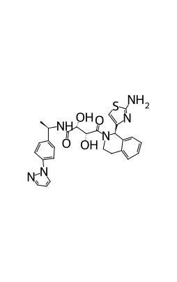 C[C@@H](NC(=O)[C@H](O)[C@@H](O)C(=O)N1CCc2ccccc2[C@@H]1c1csc(N)n1)c1ccc(-n2cccn2)cc1